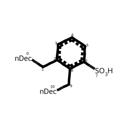 CCCCCCCCCCCc1cccc(S(=O)(=O)O)c1CCCCCCCCCCC